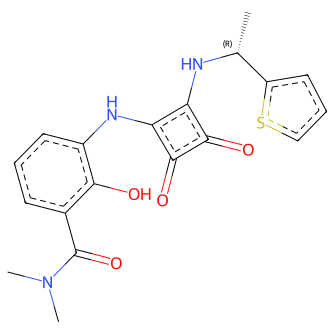 C[C@@H](Nc1c(Nc2cccc(C(=O)N(C)C)c2O)c(=O)c1=O)c1cccs1